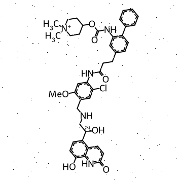 COc1cc(NC(=O)CCc2ccc(-c3ccccc3)c(NC(=O)OC3CC[N+](C)(C)CC3)c2)c(Cl)cc1CNC[C@@H](O)c1ccc(O)c2[nH]c(=O)ccc12